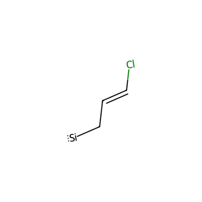 [Si]CC=CCl